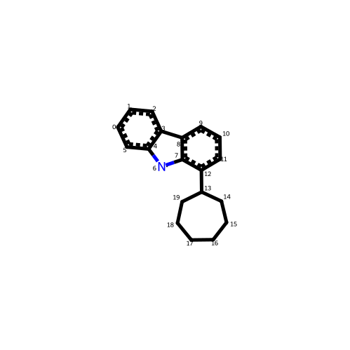 c1ccc2c(c1)[N]c1c-2cccc1C1CCCCCC1